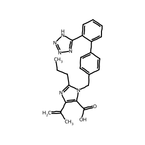 C=C(C)c1nc(CCC)n(Cc2ccc(-c3ccccc3-c3nnn[nH]3)cc2)c1C(=O)O